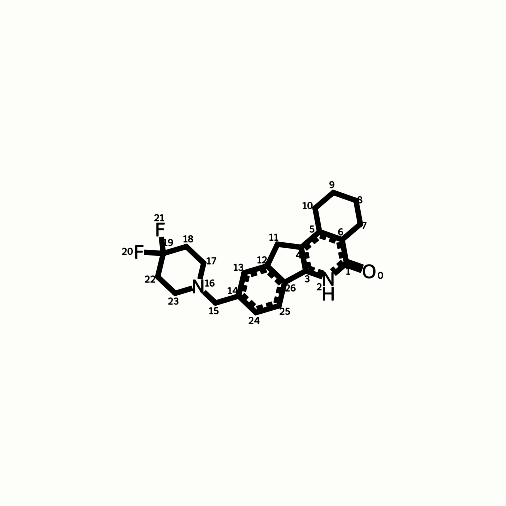 O=c1[nH]c2c(c3c1CCCC3)Cc1cc(CN3CCC(F)(F)CC3)ccc1-2